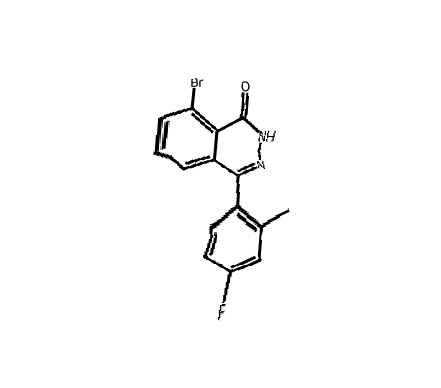 Cc1cc(F)ccc1-c1n[nH]c(=O)c2c(Br)cccc12